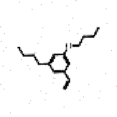 C=Cc1cc(CCCC)cc(OCCCC)c1